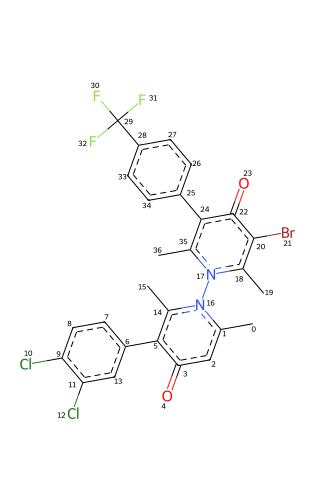 Cc1cc(=O)c(-c2ccc(Cl)c(Cl)c2)c(C)n1-n1c(C)c(Br)c(=O)c(-c2ccc(C(F)(F)F)cc2)c1C